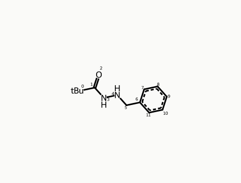 CC(C)(C)C(=O)NNCc1ccccc1